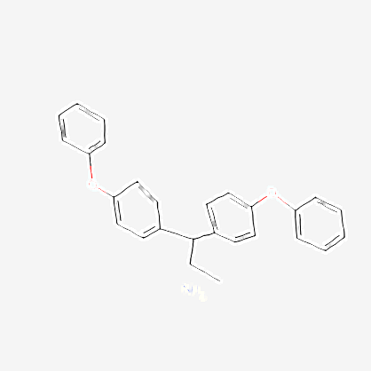 CCC(c1ccc(Oc2ccccc2)cc1)c1ccc(Oc2ccccc2)cc1.N